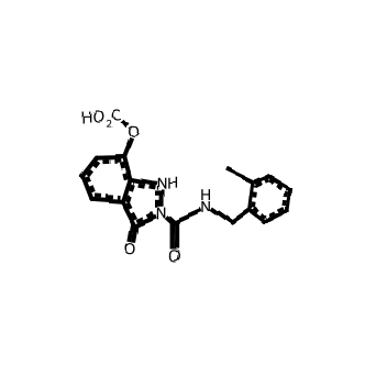 Cc1ccccc1CNC(=O)n1[nH]c2c(OC(=O)O)cccc2c1=O